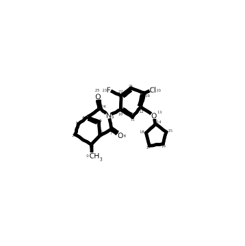 CC1CCC2=CC1C(=O)N(c1cc(OC3CCCC3)c(Cl)cc1F)C2=O